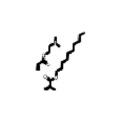 C=C(C)C(=O)OCCCCCCCCCC.C=CC(=O)OCCN(C)C